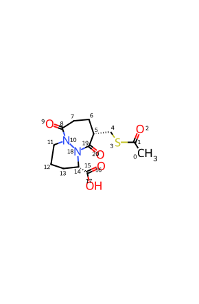 CC(=O)SC[C@H]1CCC(=O)N2CCC[C@@H](C(=O)O)N2C1=O